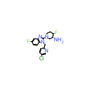 N[C@@H]1CN(c2nc3cc(F)ccc3n2Cc2ccc(Cl)cn2)CCC1F